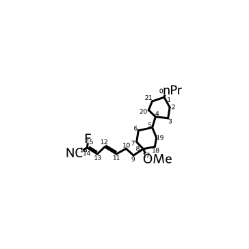 CCCC1CCC(C2CCC(CCC=CC=C(F)C#N)(OC)CC2)CC1